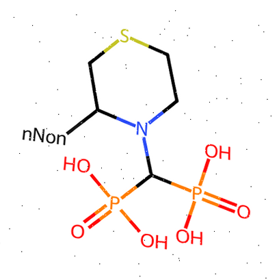 CCCCCCCCCC1CSCCN1C(P(=O)(O)O)P(=O)(O)O